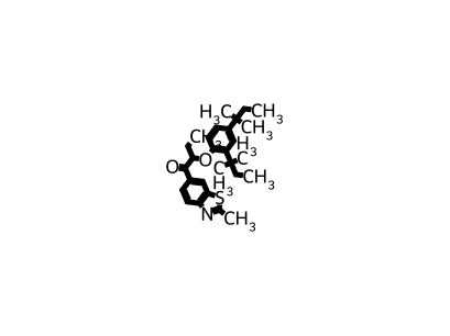 CCC(Oc1ccc(C(C)(C)CC)cc1C(C)(C)CC)C(=O)c1ccc2nc(C)sc2c1